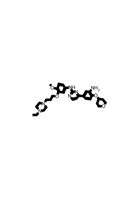 CCN1CCN(CCCOc2cc(Nc3nccc(-c4ccc(OC5CCOCC5)c(N)c4)n3)ccc2OC)CC1